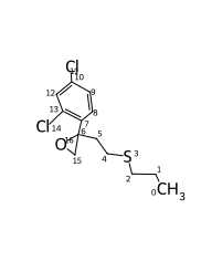 CCCSCCC1(c2ccc(Cl)cc2Cl)CO1